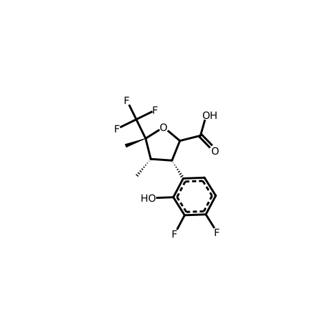 C[C@H]1[C@@H](c2ccc(F)c(F)c2O)C(C(=O)O)O[C@@]1(C)C(F)(F)F